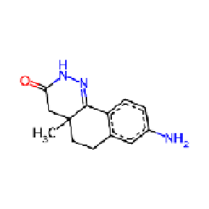 CC12CCc3cc(N)ccc3C1=NNC(=O)C2